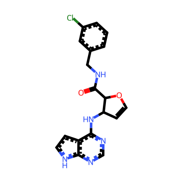 O=C(NCc1cccc(Cl)c1)C1OC=CC1Nc1ncnc2[nH]ccc12